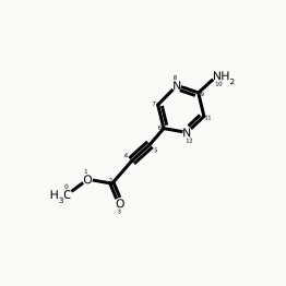 COC(=O)C#Cc1cnc(N)cn1